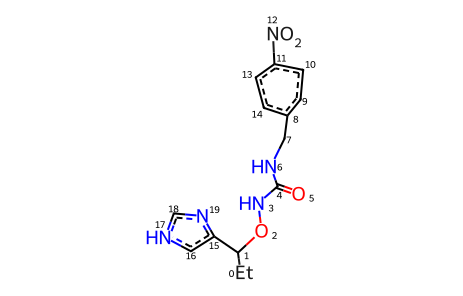 CCC(ONC(=O)NCc1ccc([N+](=O)[O-])cc1)c1c[nH]cn1